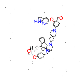 CC(C)c1ccccc1C1CN(Cc2ccc(OC3COC3)cc2)CCN1C1CC2(CCN(c3ccc(C=O)c(Oc4cnc5[nH]ccc5c4)c3)CC2)C1